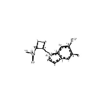 Cc1cc2ccn(C3CCC3N(C)C)c2cc1F